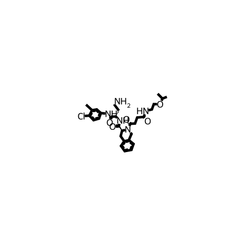 Cc1cc(NC(=O)[C@H](CCN)NC(=O)[C@@H]2Cc3ccccc3CN2C(=O)CCC(=O)NCCOC(C)C)ccc1Cl